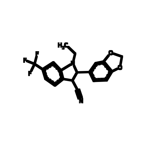 CCN1c2cc(C(F)(F)F)ccc2C(C#N)C1c1ccc2c(c1)OCO2